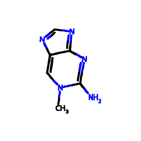 Cn1cc2ncnc-2nc1N